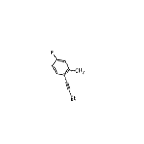 CCC#Cc1ccc(F)cc1C